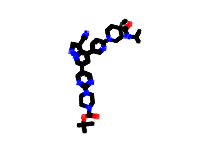 CCC1(C(=O)NC(C)C)CCN(c2ccc(-c3cc(-c4cnc(N5CCN(C(=O)OC(C)(C)C)CC5)nc4)cn4ncc(C#N)c34)cn2)CC1